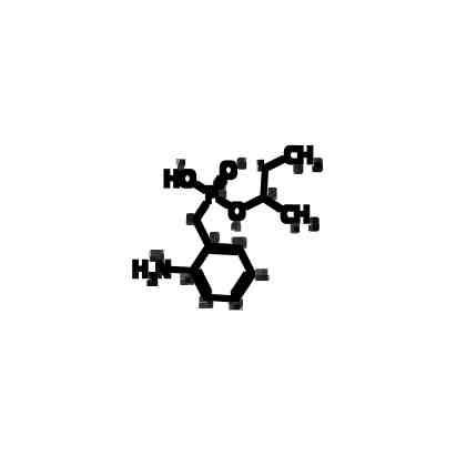 CCC(C)OP(=O)(O)Cc1ccccc1N